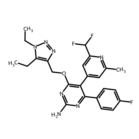 CCc1c(COc2nc(N)nc(-c3ccc(F)cc3)c2-c2cc(C)nc(C(F)F)c2)nnn1CC